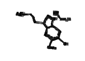 COc1cc2c(CCNC(C)=O)c[nH]c2cc1O.O=S(=O)(O)O